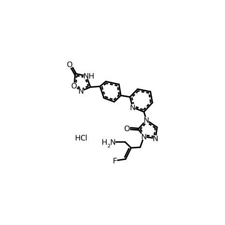 Cl.NC/C(=C\F)Cn1ncn(-c2cccc(-c3ccc(-c4noc(=O)[nH]4)cc3)n2)c1=O